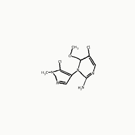 COC1C(Cl)=CN=C(N)N1c1cnn(C)c1Cl